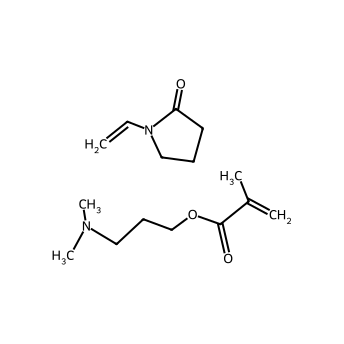 C=C(C)C(=O)OCCCN(C)C.C=CN1CCCC1=O